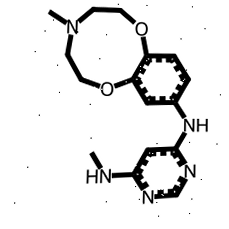 CNc1cc(Nc2ccc3c(c2)OCCN(C)CCO3)ncn1